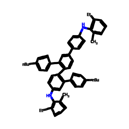 CCCCc1ccc(-c2cc(Nc3c(C)cccc3CC)ccc2-c2ccc(-c3ccc(Nc4c(C)cccc4CC)cc3)cc2-c2ccc(CCCC)cc2)cc1